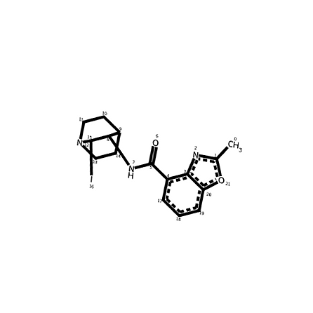 Cc1nc2c(C(=O)NC3C4CCN(CC4)C3I)cccc2o1